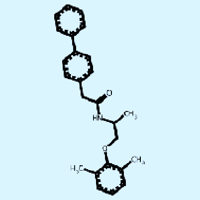 Cc1cccc(C)c1OCC(C)NC(=O)Cc1ccc(-c2ccccc2)cc1